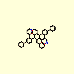 c1ccc(-c2ccc(-c3c4ccccc4c(-c4ccc(-c5ccccc5)cc4-c4cccnc4)c4cc5ccccc5cc34)c(-c3cccnc3)c2)cc1